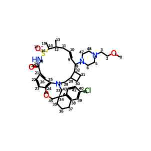 COCCN1CCN(C2/C=C/CC(C)C(C)[S+]([O-])NC(=O)c3ccc4c(c3)N(CC3CCC32)C[C@@]2(CCCc3cc(Cl)ccc32)CO4)CC1